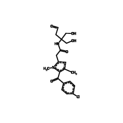 Cc1cc(CC(=O)NC(CO)(CO)CC=O)n(C)c1C(=O)c1ccc(Cl)cc1